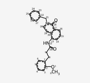 COc1ccccc1CCC(=O)Nc1cccc2c(=O)n(Cc3cccnc3)ccc12